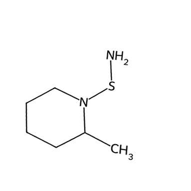 CC1CCCCN1SN